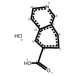 Cl.O=C(O)c1ccc2cnccc2c1